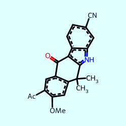 COc1cc2c(cc1C(C)=O)C(=O)c1c([nH]c3cc(C#N)ccc13)C2(C)C